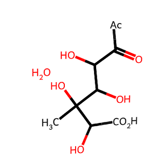 CC(=O)C(=O)C(O)C(O)C(C)(O)C(O)C(=O)O.O